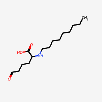 CCCCCCCCCNC(CCCC=O)C(=O)O